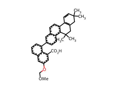 COCOc1cc(C(=O)O)c2c(-c3ccc4c5c(ccc4c3)C3=C(CC(C)(C)C=C3)CC5(C)C)cccc2c1